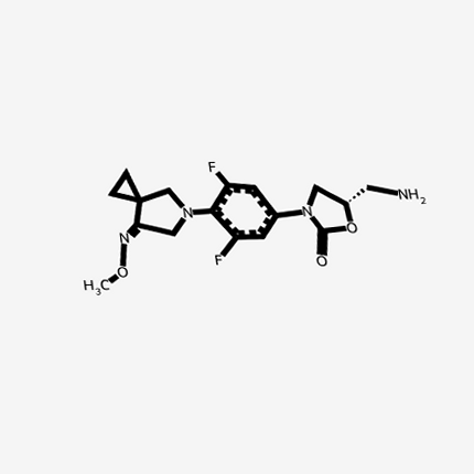 CO/N=C1\CN(c2c(F)cc(N3C[C@H](CN)OC3=O)cc2F)CC12CC2